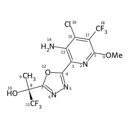 COc1nc(-c2nnc([C@@](C)(O)C(F)(F)F)o2)c(N)c(Cl)c1C(F)(F)F